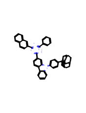 c1ccc(-c2nc(-c3ccc4ccccc4c3)nc(-c3ccc4c5ccccc5n(-c5ccc(C67CC8CC(CC(C8)C6)C7)cc5)c4c3)n2)cc1